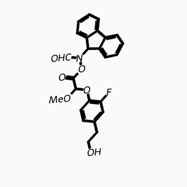 COC(Oc1ccc(CCO)cc1F)C(=O)ON(C=O)C1c2ccccc2-c2ccccc21